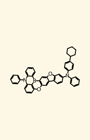 c1ccc(N(c2ccc(C3CCCCC3)cc2)c2ccc3c(c2)oc2cc4c(cc23)Oc2cccc3c2B4c2ccccc2N3c2ccccc2)cc1